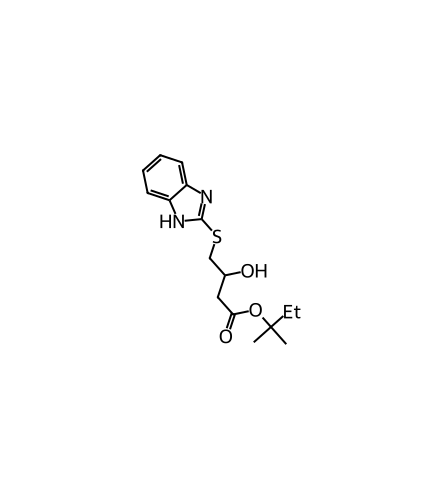 CCC(C)(C)OC(=O)CC(O)CSc1nc2ccccc2[nH]1